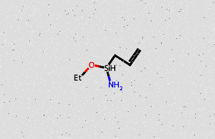 C=CC[SiH](N)OCC